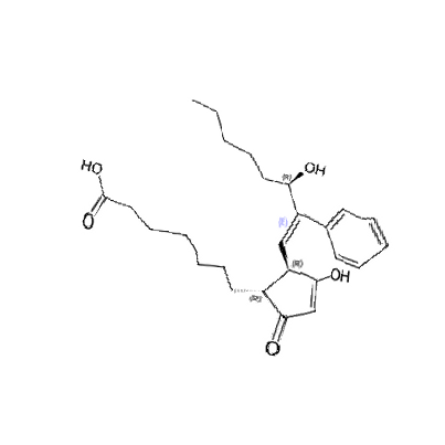 CCCCC[C@@H](O)/C(=C/[C@H]1C(O)=CC(=O)[C@@H]1CCCCCCC(=O)O)c1ccccc1